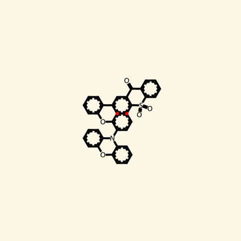 O=C1c2ccccc2S(=O)(=O)c2ccc(-c3ccccc3Oc3ccccc3N3c4ccccc4Oc4ccccc43)cc21